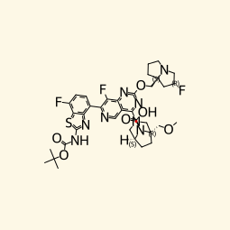 COC[C@@]12CC[C@@H](CN(c3nc(OC[C@@]45CCCN4C[C@H](F)C5)nc4c(F)c(-c5ccc(F)c6sc(NC(=O)OC(C)(C)C)nc56)ncc34)C1)N2C(=O)O